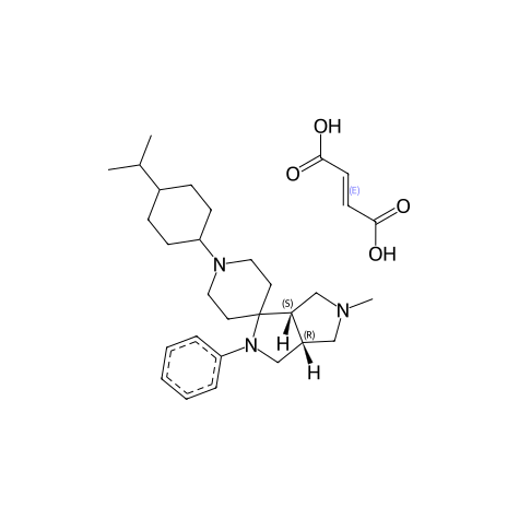 CC(C)C1CCC(N2CCC3(CC2)[C@@H]2CN(C)C[C@@H]2CN3c2ccccc2)CC1.O=C(O)/C=C/C(=O)O